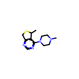 CC1SCc2ncnc(N3CCN(C)CC3)c21